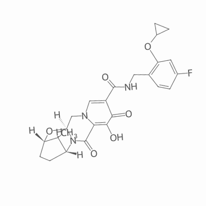 C[C@H]1[C@@H]2CC[C@H]1N1C(=O)c3c(O)c(=O)c(C(=O)NCc4ccc(F)cc4OC4CC4)cn3C[C@@H]1O2